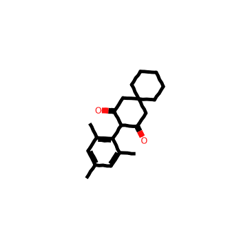 Cc1cc(C)c(C2C(=O)CC3(CCCCC3)CC2=O)c(C)c1